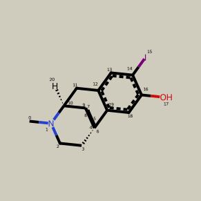 CN1CC[C@@]23CCCCC2[C@@H]1Cc1cc(I)c(O)cc13